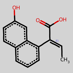 C/C=C(/C(=O)O)c1cccc2ccc(O)cc12